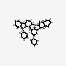 c1ccc(-c2cc3c4nc5ccccc5nc4n4c5ccc6c7ccccc7n(-c7ccccc7)c6c5c(c2)c34)cc1